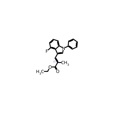 CCOC(=O)/C(C)=C/c1cn(-c2ccccc2)c2cccc(F)c12